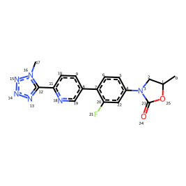 CC1CN(c2ccc(-c3ccc(-c4nnnn4C)nc3)c(F)c2)C(=O)O1